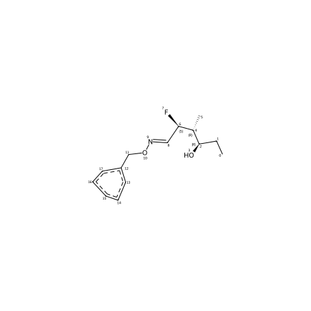 CC[C@@H](O)[C@@H](C)[C@H](F)C=NOCc1ccccc1